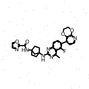 Cc1nc(NC23CCC(NC(=O)c4ncco4)(CC2)C3)nc2ccc(-c3ccnc4c3OCCO4)c(F)c12